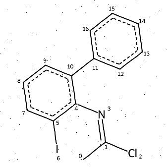 C/C(Cl)=N\c1c(I)cccc1-c1ccccc1